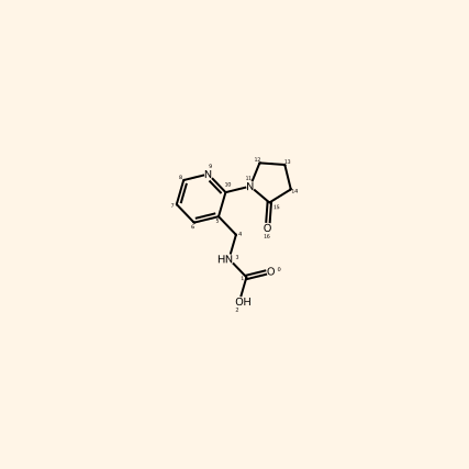 O=C(O)NCc1cccnc1N1CCCC1=O